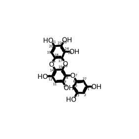 Oc1cc(O)cc(Oc2c(O)cc(O)c3c2Oc2c(cc(O)c(O)c2O)O3)c1